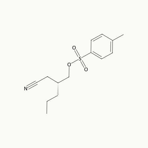 CCC[C@H](CC#N)COS(=O)(=O)c1ccc(C)cc1